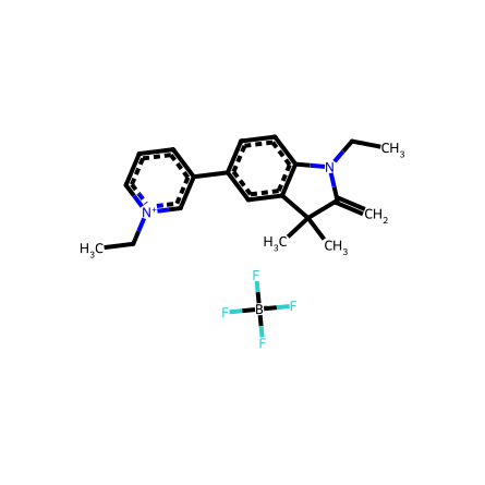 C=C1N(CC)c2ccc(-c3ccc[n+](CC)c3)cc2C1(C)C.F[B-](F)(F)F